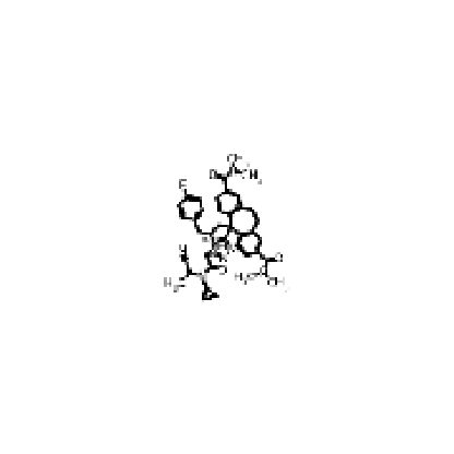 CC(C#N)N(C(=O)CN[C@@H](Cc1ccc(F)cc1)CC1(c2nnn[nH]2)c2ccc(C(=O)N(C)C)cc2CCc2cc(C(=O)N(C)C)ccc21)C1CC1